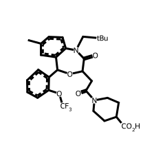 Cc1ccc2c(c1)C(c1ccccc1OC(F)(F)F)OC(CC(=O)N1CCC(C(=O)O)CC1)C(=O)N2CC(C)(C)C